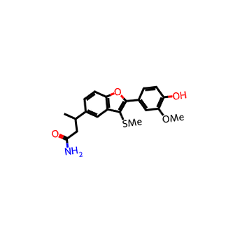 COc1cc(-c2oc3ccc(C(C)CC(N)=O)cc3c2SC)ccc1O